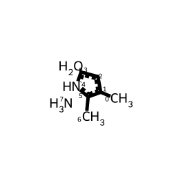 Cc1cc[nH]c1C.N.O